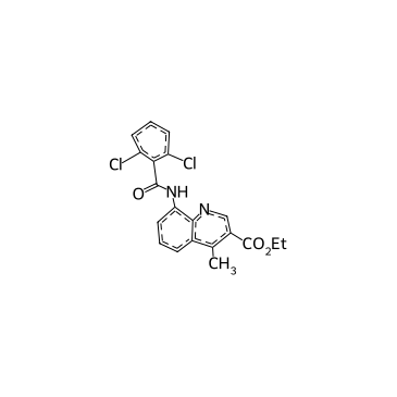 CCOC(=O)c1cnc2c(NC(=O)c3c(Cl)cccc3Cl)cccc2c1C